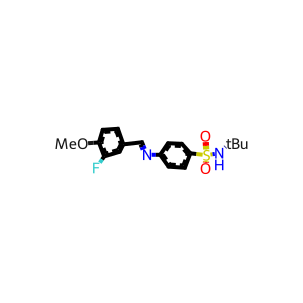 COc1ccc(C=Nc2ccc(S(=O)(=O)NC(C)(C)C)cc2)cc1F